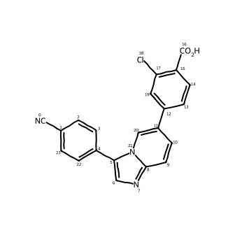 N#Cc1ccc(-c2cnc3ccc(-c4ccc(C(=O)O)c(Cl)c4)cn23)cc1